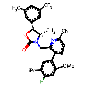 COc1cc(F)c(C(C)C)cc1-c1ccc(C#N)nc1CN1C(=O)O[C@H](c2cc(C(F)(F)F)cc(C(F)(F)F)c2)[C@@H]1C